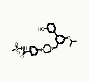 CC(C)Oc1cc(CN2CCN(c3ccc(C(=O)NS(C)(=O)=O)cc3)CC2)cc(-c2cccc(O)c2)c1